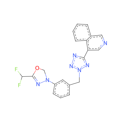 FC(F)C1=NN(c2cccc(Cn3nnc(-c4cncc5ccccc45)n3)c2)CO1